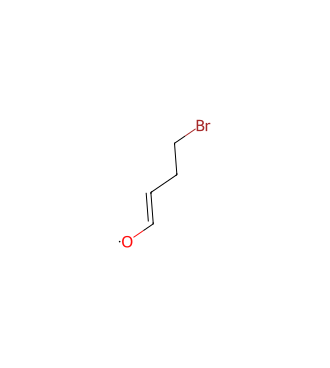 [O]C=CCCBr